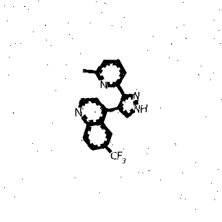 Cc1cccc(-c2n[nH]cc2-c2ccnc3ccc(C(F)(F)F)cc23)n1